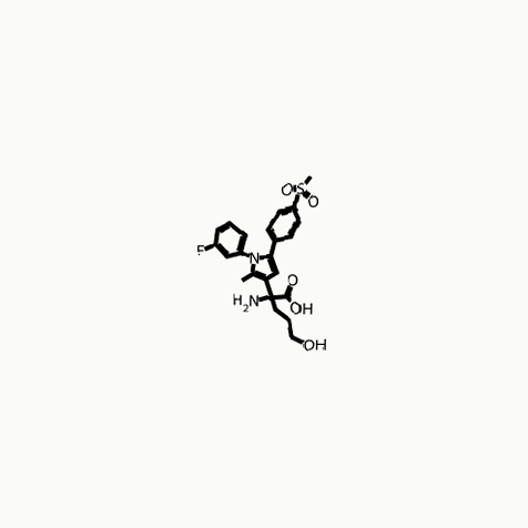 Cc1c(C(N)(CCCO)C(=O)O)cc(-c2ccc(S(C)(=O)=O)cc2)n1-c1cccc(F)c1